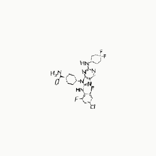 NC(=O)[C@H]1CC[C@@H](n2c(Nc3c(F)cc(Cl)cc3F)nc3cnc(NC4CCC(F)(F)CC4)nc32)CC1